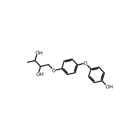 CC(O)C(O)COc1ccc(Oc2ccc(O)cc2)cc1